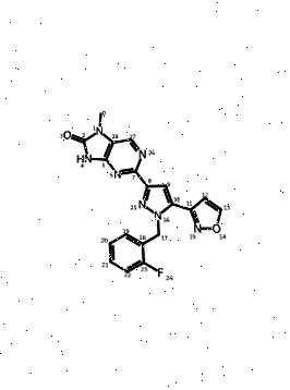 Cn1c(=O)[nH]c2nc(-c3cc(-c4ccon4)n(Cc4ccccc4F)n3)ncc21